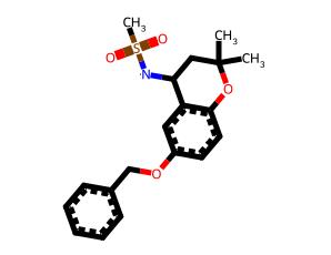 CC1(C)CC([N]S(C)(=O)=O)c2cc(OCc3ccccc3)ccc2O1